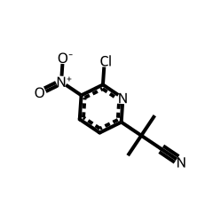 CC(C)(C#N)c1ccc([N+](=O)[O-])c(Cl)n1